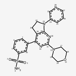 NS(=O)(=O)c1cccc(-c2nc(N3CCOCC3)nc3c2CCN3c2cccnc2)c1